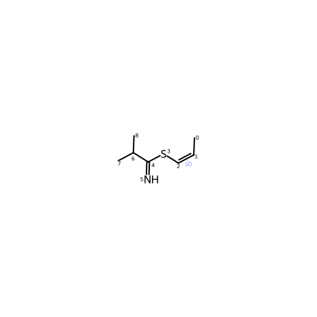 C/C=C\SC(=N)C(C)C